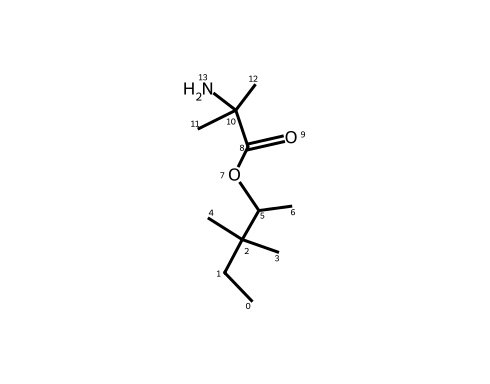 CCC(C)(C)C(C)OC(=O)C(C)(C)N